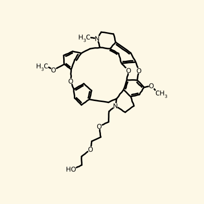 COc1ccc2cc1Oc1ccc(cc1)CC1c3c(cc(OC)c4c3Oc3cc5c(cc3O4)CCN(C)C5C2)CCN1CCOCCOCCO